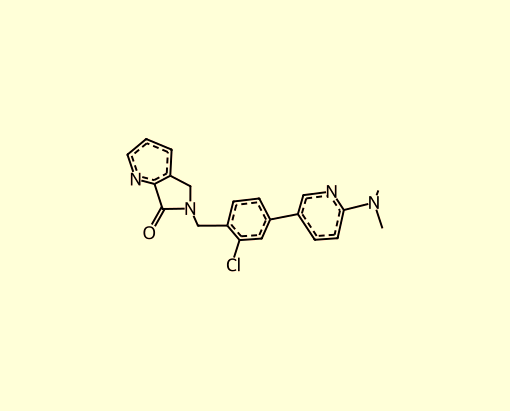 CN(C)c1ccc(-c2ccc(CN3Cc4cccnc4C3=O)c(Cl)c2)cn1